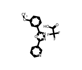 FC(F)(F)Oc1cccc(-c2nnc(-c3cccnc3)o2)c1.O=C(O)C(F)(F)F